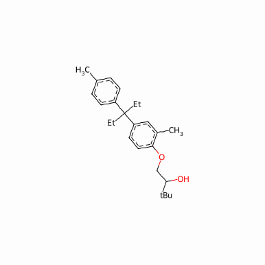 CCC(CC)(c1ccc(C)cc1)c1ccc(OCC(O)C(C)(C)C)c(C)c1